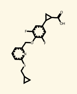 O=C(O)C1CC1c1cc(F)c(OCc2cccc(SCC3CC3)n2)c(F)c1